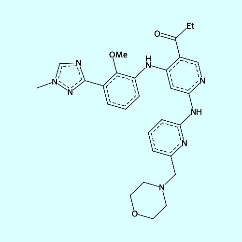 CCC(=O)c1cnc(Nc2cccc(CN3CCOCC3)n2)cc1Nc1cccc(-c2ncn(C)n2)c1OC